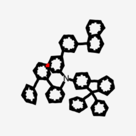 c1ccc(-c2ccccc2-c2ccccc2N(c2cccc(-c3cccc(-c4cccc5ccccc45)c3)c2)c2ccc3c(c2)C(c2ccccc2)(c2ccccc2)c2ccccc2-3)cc1